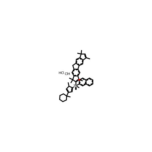 Cl.Cl.[CH2]=[Zr]([CH3])([C]1=CC(C2(C)CCCCC2)=CC1C)([C]1=C(C)c2cc3c(cc2C1(C)C)Cc1cc2c(cc1-3)C(C)=CC2(C)C)[c]1ccc2ccccc2c1